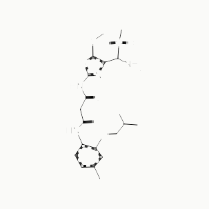 CSc1sc(NC(=O)CC(=O)Nc2ccc(C)cc2OCC(C)C)nc1C(N)S(C)(=O)=O